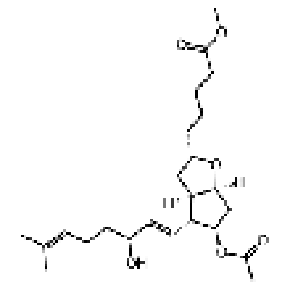 COC(=O)CCCC[C@H]1C[C@@H]2[C@@H](C=C[C@@H](O)CCC=C(C)C)[C@H](OC(C)=O)C[C@@H]2O1